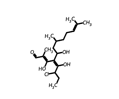 CCC(Cl)/C(O)=C(\C(O)=C(/C)C=O)C(O)CC(C)CCC=C(C)C